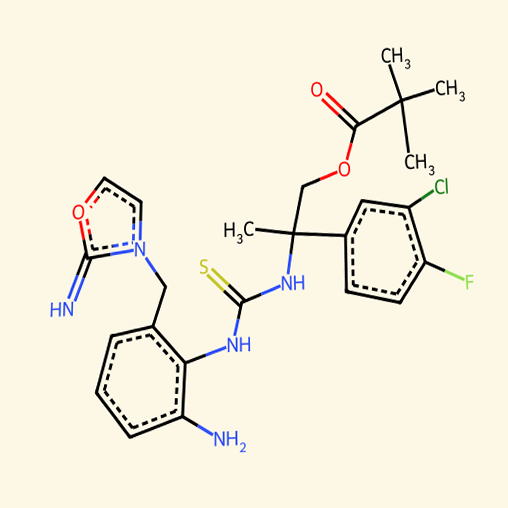 CC(C)(C)C(=O)OCC(C)(NC(=S)Nc1c(N)cccc1Cn1ccoc1=N)c1ccc(F)c(Cl)c1